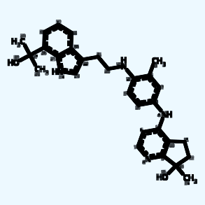 Cc1cc(Nc2ccnc3c2CCC3(C)O)ccc1NCCc1c[nH]c2c(C(C)(C)O)cccc12